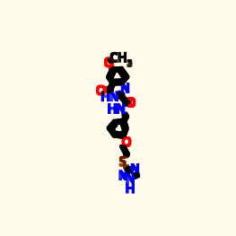 COc1ccc2nc(C(=O)NCc3cccc(OCCSc4nc[nH]n4)c3)[nH]c(=O)c2c1